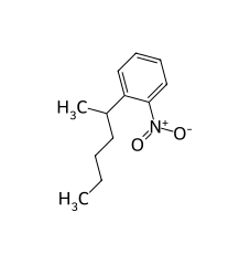 CCCCC(C)c1ccccc1[N+](=O)[O-]